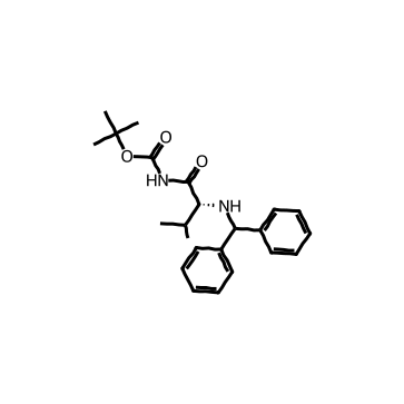 CC(C)[C@@H](NC(c1ccccc1)c1ccccc1)C(=O)NC(=O)OC(C)(C)C